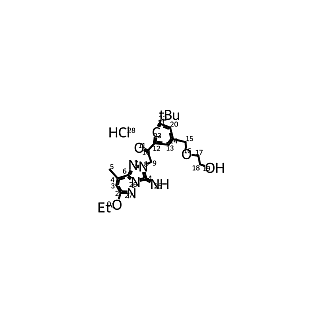 CCOc1cc(C)c2nn(CC(=O)c3cc(COCCO)cc(C(C)(C)C)c3)c(=N)n2n1.Cl